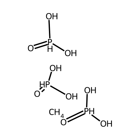 C.O=[PH](O)O.O=[PH](O)O.O=[PH](O)O